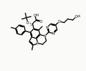 Cc1ccc(-c2c([C@H](OC(C)(C)C)C(=O)O)c(C)c3c4c2cc(C)n4CCN3c2ncc(OCCCO)cn2)cc1